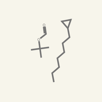 CC(C)(C)OC=O.CCCCCCCC1CC1